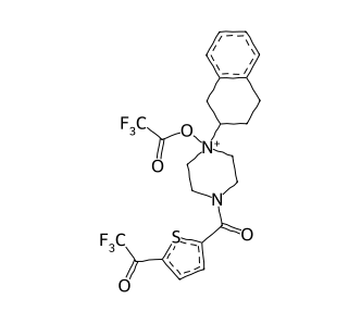 O=C(c1ccc(C(=O)C(F)(F)F)s1)N1CC[N+](OC(=O)C(F)(F)F)(C2CCc3ccccc3C2)CC1